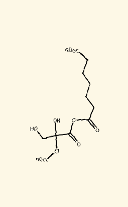 CCCCCCCCCCCCCCCC(=O)OC(=O)C(O)(CO)OCCCCCCCC